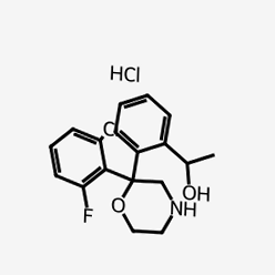 CC(O)c1ccccc1C1(c2c(F)cccc2Cl)CNCCO1.Cl